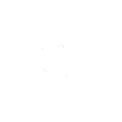 Cc1c2ccncc2c(C)c2c1[nH]c1ccccc12.Cl.Cl